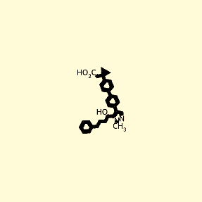 Cn1ncc(-c2ccc(-c3ccc(C4(CC(=O)O)CC4)cc3)cc2)c1C(O)CCCc1ccccc1